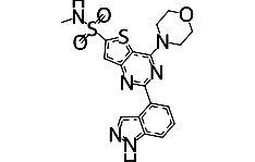 CNS(=O)(=O)c1cc2nc(-c3cccc4[nH]ncc34)nc(N3CCOCC3)c2s1